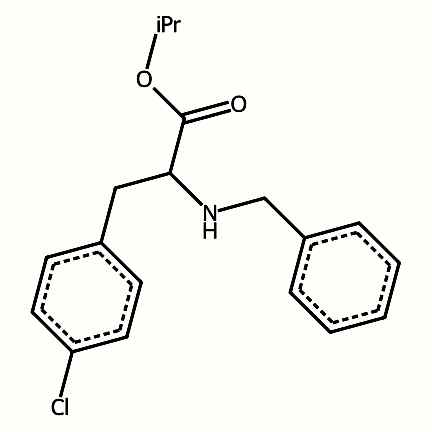 CC(C)OC(=O)C(Cc1ccc(Cl)cc1)NCc1ccccc1